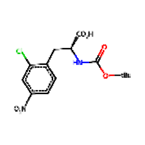 CC(C)(C)OC(=O)N[C@@H](Cc1ccc([N+](=O)[O-])cc1Cl)C(=O)O